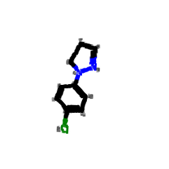 Clc1ccc(N2CC[C]=N2)cc1